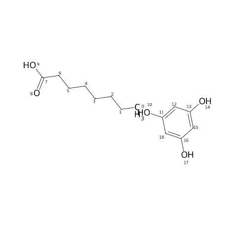 CCCCCCCC(=O)O.Oc1cc(O)cc(O)c1